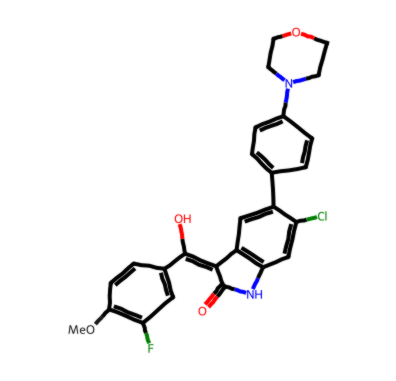 COc1ccc(C(O)=C2C(=O)Nc3cc(Cl)c(-c4ccc(N5CCOCC5)cc4)cc32)cc1F